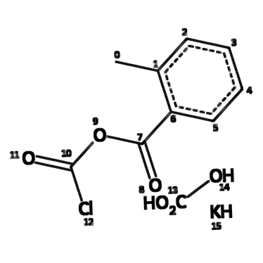 Cc1ccccc1C(=O)OC(=O)Cl.O=C(O)O.[KH]